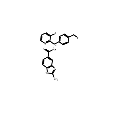 Cc1nc2cc(C(=O)N[C@@H](c3ccc(CF)cc3)c3ncccc3F)ccc2[nH]1